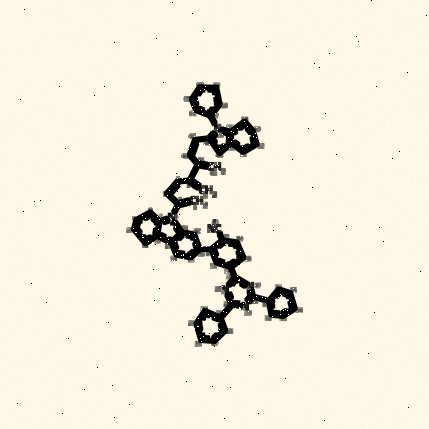 C=C(/C=C\C(=C)n1c2ccccc2c2ccc(-c3cc(-c4nc(-c5ccccc5)nc(-c5ccccc5)n4)ccc3C#N)cc21)C(=C)/C=C\c1cc2ccccc2n1-c1ccccc1